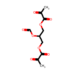 CC(=O)C(=O)OCC(COC(=O)C(C)=O)OC=O